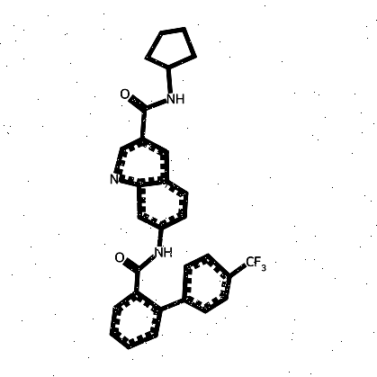 O=C(NC1CCCC1)c1cnc2cc(NC(=O)c3ccccc3-c3ccc(C(F)(F)F)cc3)ccc2c1